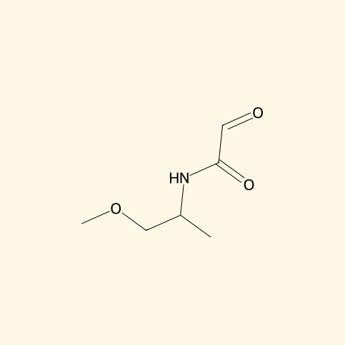 COCC(C)NC(=O)C=O